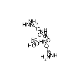 N=C(N)N1CC(c2ccc(NC(=O)c3cc(C(=O)Nc4ccc(C5CN(C(=N)N)C5)cc4)[nH]n3)cc2)C1.O=C(O)C(F)(F)F